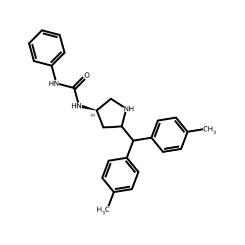 Cc1ccc(C(c2ccc(C)cc2)C2C[C@@H](NC(=O)Nc3ccccc3)CN2)cc1